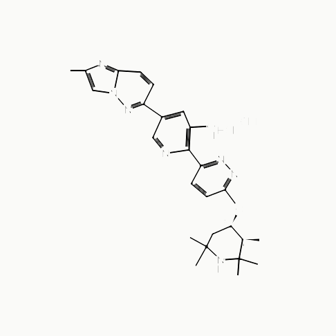 Cc1cn2nc(-c3cnc(-c4ccc(O[C@@H]5CC(C)(C)NC(C)(C)[C@@H]5F)nn4)c(O)c3)ccc2n1.Cl.Cl